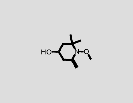 C=C1CC(O)CC(C)(C)N1OC